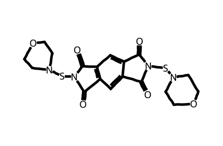 O=c1c2cc3c(=O)n(SN4CCOCC4)c(=O)c3cc2c(=O)n1SN1CCOCC1